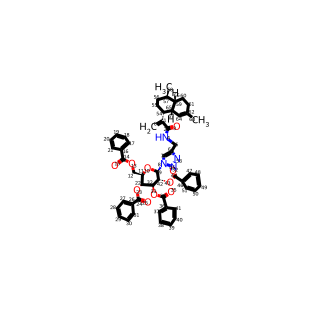 C=C(C(=O)NCc1cn([C@@H]2O[C@H](COC(=O)c3ccccc3)[C@@H](OC(=O)c3ccccc3)[C@H](OC(=O)c3ccccc3)[C@H]2OC(=O)c2ccccc2)nn1)[C@@H]1CC[C@@H](C)[C@@H]2CCC(C)=C[C@@H]21